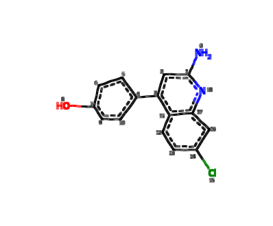 Nc1cc(-c2ccc(O)cc2)c2ccc(Cl)cc2n1